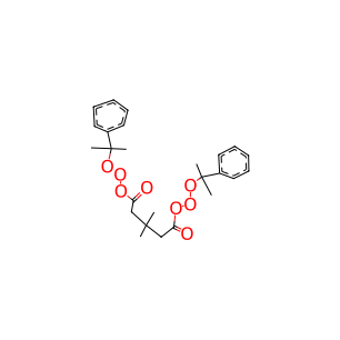 CC(C)(CC(=O)OOOC(C)(C)c1ccccc1)CC(=O)OOOC(C)(C)c1ccccc1